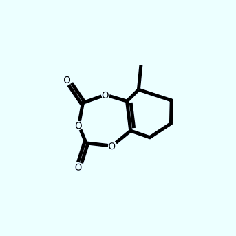 CC1CCCC2=C1OC(=O)OC(=O)O2